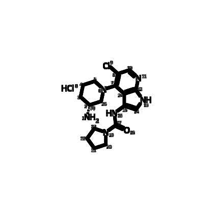 Cl.N[C@@H]1CCCN(c2c(Cl)cnc3[nH]cc(NC(=O)N4CCCC4)c23)C1